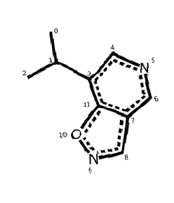 CC(C)c1cncc2cnoc12